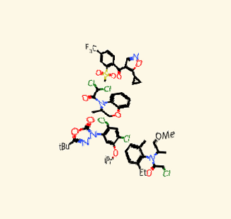 CC(C)Oc1cc(-n2nc(C(C)(C)C)oc2=O)c(Cl)cc1Cl.CC1COc2ccccc2N1C(=O)C(Cl)Cl.CCc1cccc(C)c1N(C(=O)CCl)C(C)COC.CS(=O)(=O)c1cc(C(F)(F)F)ccc1C(=O)c1cnoc1C1CC1